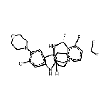 C[C@@H](NC(=O)c1cc(N2CCOCC2)c(Cl)cc1N[C@H]1CN2CCC1CC2)c1cccc(C(F)F)c1F